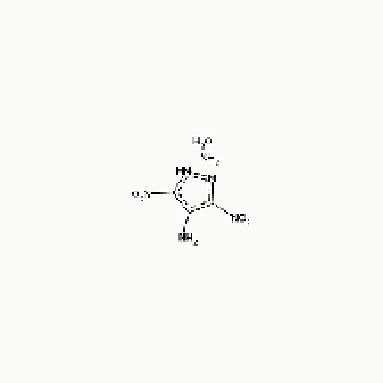 N.Nc1c([N+](=O)[O-])n[nH]c1[N+](=O)[O-].O